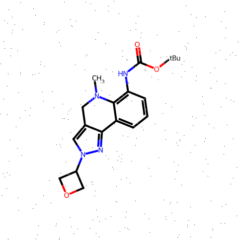 CN1Cc2cn(C3COC3)nc2-c2cccc(NC(=O)OC(C)(C)C)c21